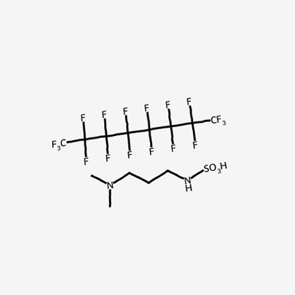 CN(C)CCCNS(=O)(=O)O.FC(F)(F)C(F)(F)C(F)(F)C(F)(F)C(F)(F)C(F)(F)C(F)(F)C(F)(F)F